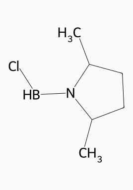 CC1CCC(C)N1BCl